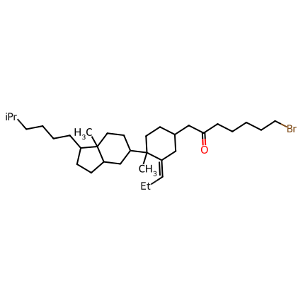 CC/C=C1/CC(CC(=O)CCCCCBr)CCC1(C)C1CCC2(C)C(CCCCC(C)C)CCC2C1